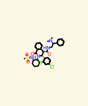 CN(C)C(CNC(=O)[C@@H]1c2ccccc2C(=O)N([C@H]2CCCC[C@@H]2NS(C)(=O)=O)[C@H]1c1ccc(Cl)cc1Cl)c1ccccc1